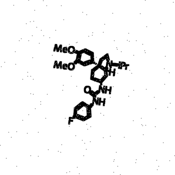 COc1ccc([C@@]23CC[C@@H](NC(=O)Nc4ccc(F)cc4)C[C@@H]2N(C(C)C)CC3)cc1OC